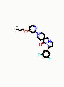 CCCOc1ccnc(N2CCC3(CC2)CN2CC[C@@H](c4cc(F)cc(F)c4)N2C3=O)c1